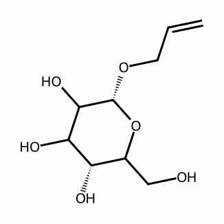 C=CCO[C@@H]1OC(CO)[C@H](O)C(O)C1O